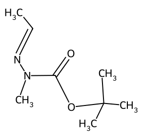 CC=NN(C)C(=O)OC(C)(C)C